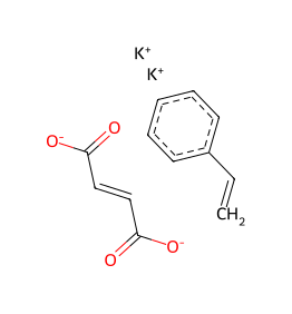 C=Cc1ccccc1.O=C([O-])C=CC(=O)[O-].[K+].[K+]